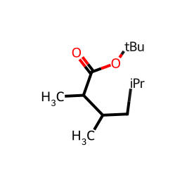 CC(C)CC(C)C(C)C(=O)OC(C)(C)C